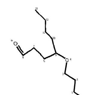 CCCCOC(CCC=O)CCCC